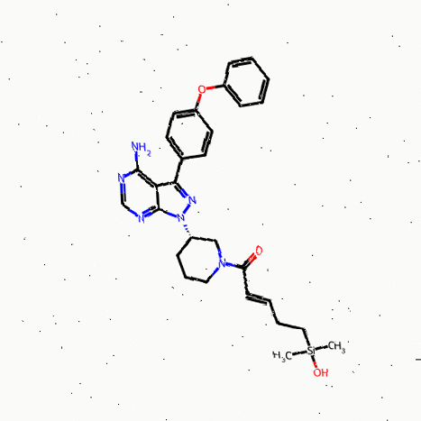 C[Si](C)(O)CC/C=C/C(=O)N1CCC[C@H](n2nc(-c3ccc(Oc4ccccc4)cc3)c3c(N)ncnc32)C1